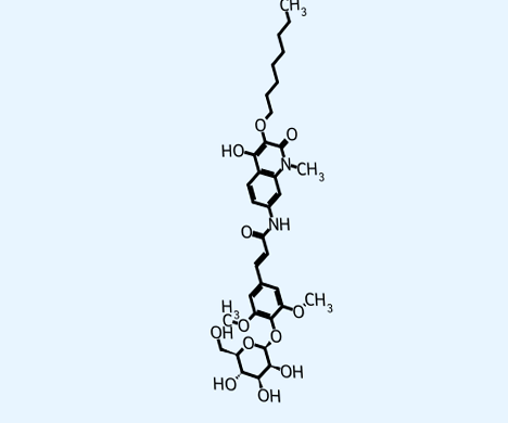 CCCCCCCCOc1c(O)c2ccc(NC(=O)/C=C/c3cc(OC)c(O[C@@H]4O[C@H](CO)[C@@H](O)[C@H](O)[C@@H]4O)c(OC)c3)cc2n(C)c1=O